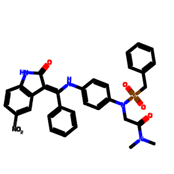 CN(C)C(=O)CN(c1ccc(N/C(=C2\C(=O)Nc3ccc([N+](=O)[O-])cc32)c2ccccc2)cc1)S(=O)(=O)Cc1ccccc1